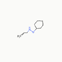 C=CCN[N]C1CCCCC1